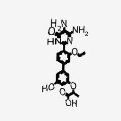 CCOc1cc(-c2cc(O)cc(OC(C)C(=O)O)c2)ccc1-c1nc(N)c(N)c(=O)[nH]1